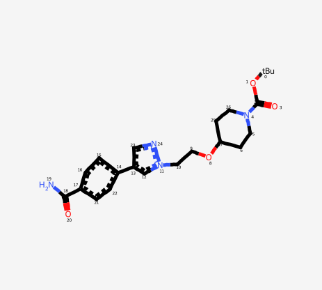 CC(C)(C)OC(=O)N1CCC(OCCn2cc(-c3ccc(C(N)=O)cc3)cn2)CC1